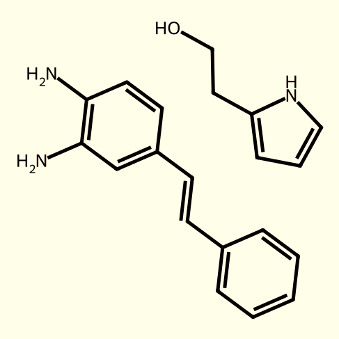 Nc1ccc(C=Cc2ccccc2)cc1N.OCCc1ccc[nH]1